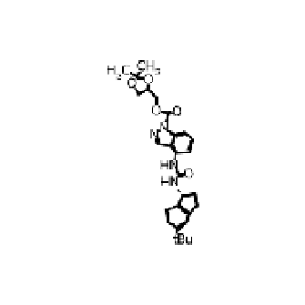 CC1(C)OCC(COC(=O)n2ncc3c(NC(=O)N[C@@H]4CCc5cc(C(C)(C)C)ccc54)cccc32)O1